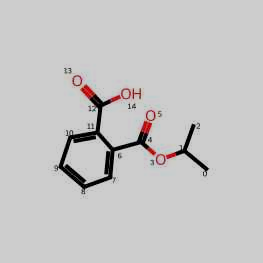 CC(C)OC(=O)c1ccccc1C(=O)O